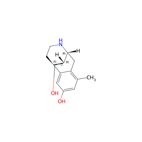 Cc1cc(O)cc2c1C[C@H]1NCC[C@@]23CC(O)C=C[C@@H]13